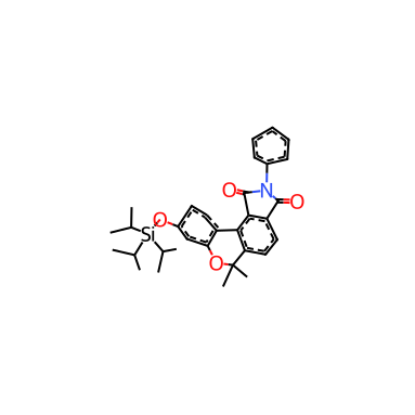 CC(C)[Si](Oc1ccc2c(c1)OC(C)(C)c1ccc3c(c1-2)C(=O)N(c1ccccc1)C3=O)(C(C)C)C(C)C